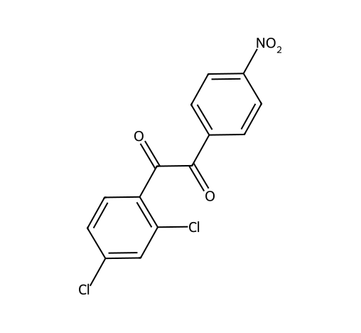 O=C(C(=O)c1ccc(Cl)cc1Cl)c1ccc([N+](=O)[O-])cc1